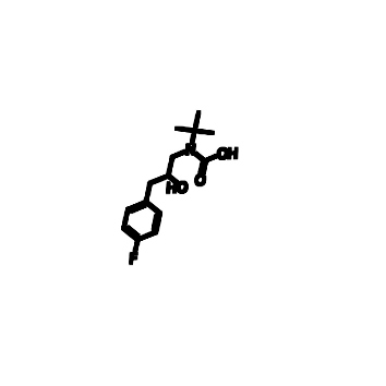 CC(C)(C)N(CC(O)Cc1ccc(F)cc1)C(=O)O